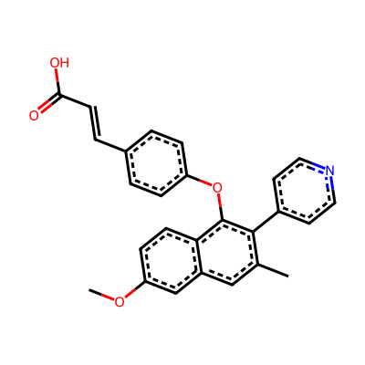 COc1ccc2c(Oc3ccc(C=CC(=O)O)cc3)c(-c3ccncc3)c(C)cc2c1